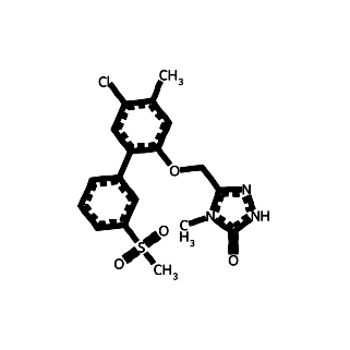 Cc1cc(OCc2n[nH]c(=O)n2C)c(-c2cccc(S(C)(=O)=O)c2)cc1Cl